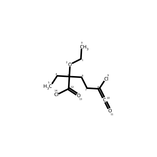 CCOC(CC)(CCC(Cl)=C=O)C(=O)Cl